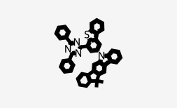 CC1(C)C2=C(C=CCC2)c2cc3c(cc21)c1ccccc1n3-c1cc(-c2nc(-c3ccccc3)nc(-c3ccccc3)n2)c2sc3ccccc3c2c1